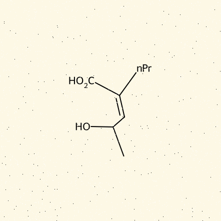 CCCC(=CC(C)O)C(=O)O